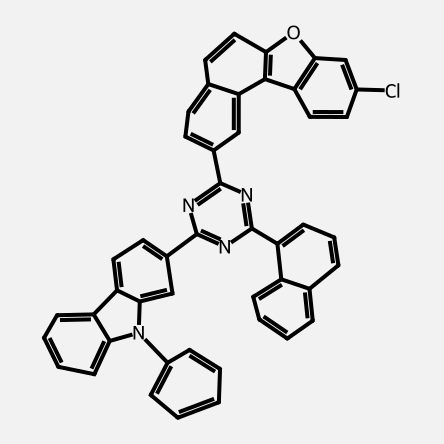 Clc1ccc2c(c1)oc1ccc3ccc(-c4nc(-c5ccc6c7ccccc7n(-c7ccccc7)c6c5)nc(-c5cccc6ccccc56)n4)cc3c12